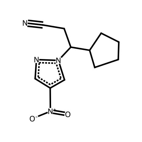 N#CCC(C1CCCC1)n1cc([N+](=O)[O-])cn1